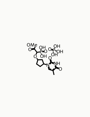 COC(=O)C(OC1CCC(n2cc(C)c(=O)[nH]c2=O)C1)P(=O)(O)O.O=P(O)(O)O